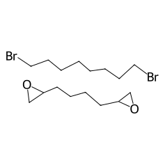 BrCCCCCCCCBr.C(CCC1CO1)CC1CO1